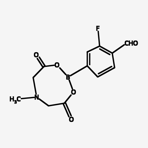 CN1CC(=O)OB(c2ccc(C=O)c(F)c2)OC(=O)C1